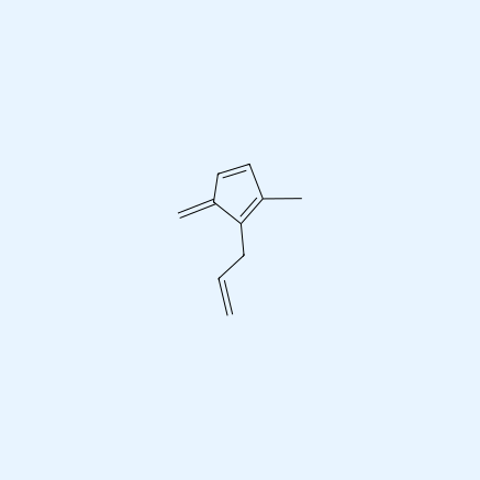 C=CCC1=C(C)C=CC1=C